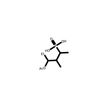 CCC(OC(C)=O)C(C)C(C)P(=O)(O)O